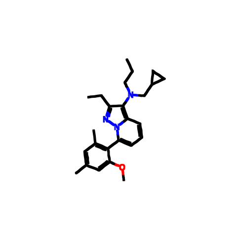 CCCN(CC1CC1)c1c(CC)nn2c(-c3c(C)cc(C)cc3OC)cccc12